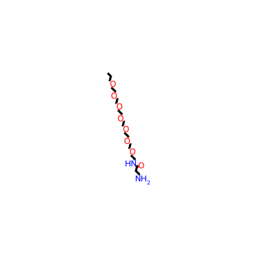 CCCOCCOCCOCCOCCOCCOCCOCCNC(=O)CCN